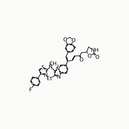 CCc1nc2ccc(C(C=CC(=O)CC3CNC(=O)O3)=Cc3ccc4c(c3)OCO4)cn2c1N(C)c1nc(-c2ccc(F)cc2)cs1